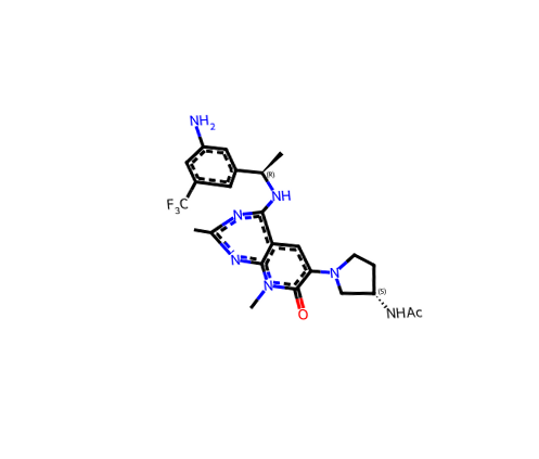 CC(=O)N[C@H]1CCN(c2cc3c(N[C@H](C)c4cc(N)cc(C(F)(F)F)c4)nc(C)nc3n(C)c2=O)C1